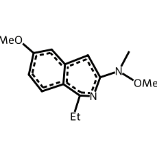 CCc1nc(N(C)OC)cc2cc(OC)ccc12